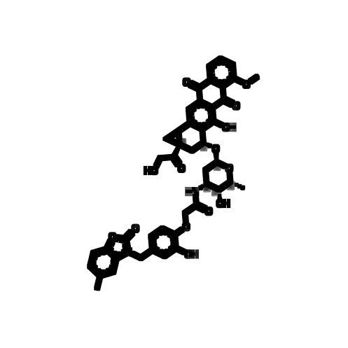 COc1cccc2c1C(=O)c1c(cc3c(c1O)[C@H](O[C@@H]1C[C@@H](NC(=O)COc4ccc(Cn5c(=O)oc6ccc(C)cc65)cc4O)[C@@H](O)[C@@H](C)O1)C[C@]1(C(=O)CO)CC31)C2=O